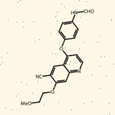 COCCOc1cc2nccc(Oc3ccc(NC=O)cc3)c2cc1C#N